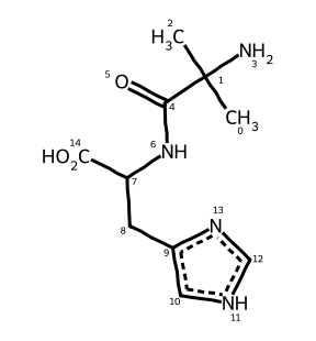 CC(C)(N)C(=O)NC(Cc1c[nH]cn1)C(=O)O